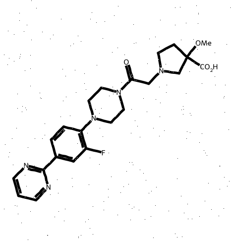 COC1(C(=O)O)CCN(CC(=O)N2CCN(c3ccc(-c4ncccn4)cc3F)CC2)C1